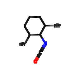 CCCC1CCCC(CCC)C1N=C=O